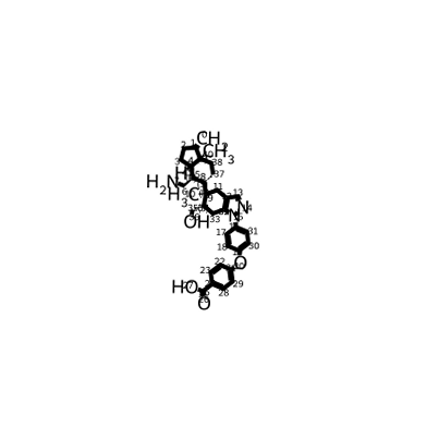 C=C1CC[C@H]2[C@H](CN)[C@@H]([C@@]3(C)Cc4cnn(-c5ccc(Oc6ccc(C(=O)O)cc6)cc5)c4C[C@@H]3CO)CC[C@]12C